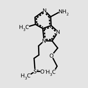 CCOCc1nc2c(N)ncc(C)c2n1CCC[S+](C)[O-]